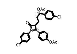 CC(=O)Oc1ccc([C@@H]2C(CC[C@H](OC(C)=O)c3ccc(Cl)cc3)C(=O)N2c2ccc(Cl)cc2)cc1